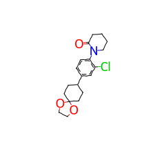 O=C1CCCCN1c1ccc(C2CCC3(CC2)OCCO3)cc1Cl